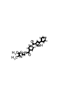 Cc1nc(CNC(=O)C2CCN(C(=O)c3cc(-c4ccncc4)[nH]n3)CC2)sc1C